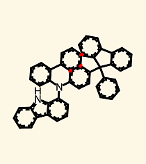 c1ccc(-c2ccccc2N(c2ccc(C3(c4ccccc4)c4ccccc4-c4ccccc43)cc2)c2cccc3c2[nH]c2ccccc23)cc1